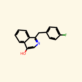 Oc1cnc(Cc2ccc(F)cc2)c2ccccc12